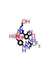 CN1Cc2c(-c3cnn(CCCO)c3)ccc(Nc3nc(Nc4ccc(CP(=O)(O)O)cc4)ncc3C(F)(F)F)c2C1=O